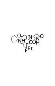 CCC(F)(F)CCCNC1CCCCCC1Oc1ccc2c(c1)CN(C1CCC(=O)NC1=O)C2=O